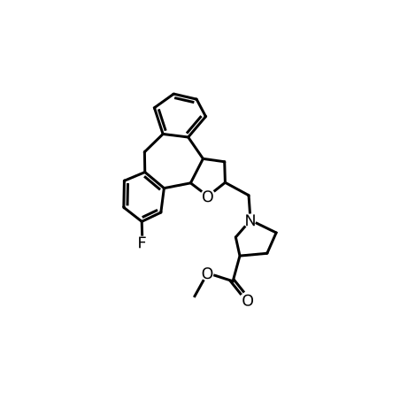 COC(=O)C1CCN(CC2CC3c4ccccc4Cc4ccc(F)cc4C3O2)C1